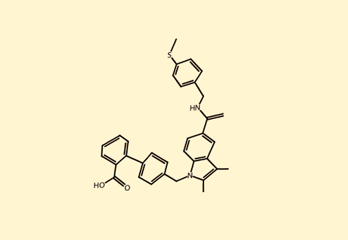 C=C(NCc1ccc(SC)cc1)c1ccc2c(c1)c(C)c(C)n2Cc1ccc(-c2ccccc2C(=O)O)cc1